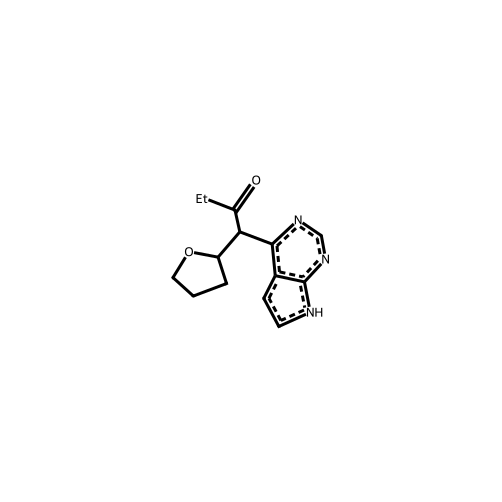 CCC(=O)C(c1ncnc2[nH]ccc12)C1CCCO1